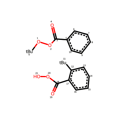 CC(C)(C)OOC(=O)c1ccccc1.CC(C)(C)c1ccccc1C(=O)OO